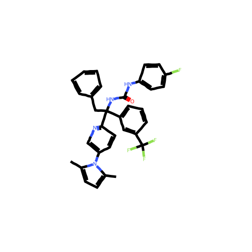 Cc1ccc(C)n1-c1ccc(C(Cc2ccccc2)(NC(=O)Nc2ccc(F)cc2)c2cccc(C(F)(F)F)c2)nc1